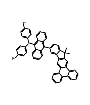 CC(C)c1ccc(N(c2ccc(C(C)C)cc2)c2c3ccccc3c(-c3ccc4c(c3)-c3cc5c6ccccc6c6ccccc6c5cc3C4(C)C)c3ccccc23)cc1